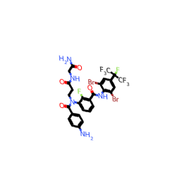 NC(=O)CNC(=O)CCN(C(=O)c1ccc(N)cc1)c1cccc(C(=O)Nc2c(Br)cc(C(F)(C(F)(F)F)C(F)(F)F)cc2Br)c1F